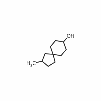 CC1CCC2(CCC(O)CC2)C1